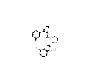 Cc1cccc(-c2sc(C)nc2C(=O)N2CC[C@H](C)[C@H]2c2nc3c(C(F)(F)F)cccc3[nH]2)c1